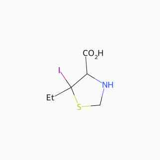 CCC1(I)SCNC1C(=O)O